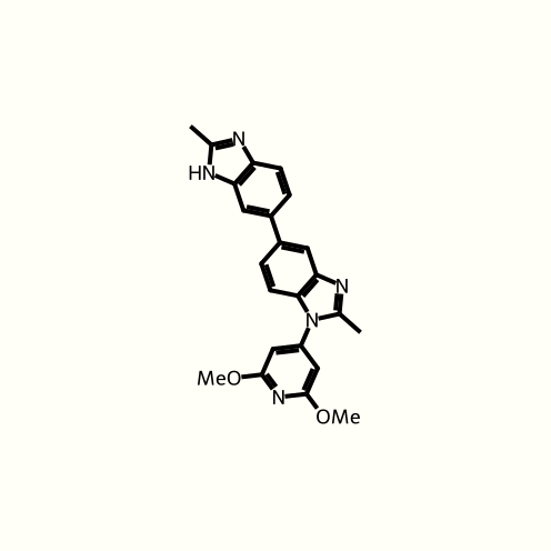 COc1cc(-n2c(C)nc3cc(-c4ccc5nc(C)[nH]c5c4)ccc32)cc(OC)n1